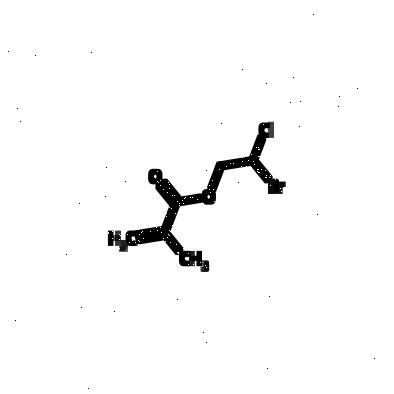 C=C(C)C(=O)OCC(Cl)Br